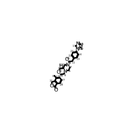 Cc1c([C@H]2CN3CCN(C(=O)Cc4ccc(-n5cnnn5)cc4)C[C@H]3CO2)ccc2c1COC2=O